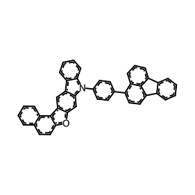 c1ccc2c(c1)-c1cccc3c(-c4ccc(-n5c6ccccc6c6cc7c(cc65)oc5ccc6ccccc6c57)cc4)ccc-2c13